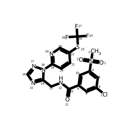 CS(=O)(=O)c1cc(Cl)cc(C(=O)NCc2ncnn2-c2ccc(SC(F)(F)F)cn2)c1